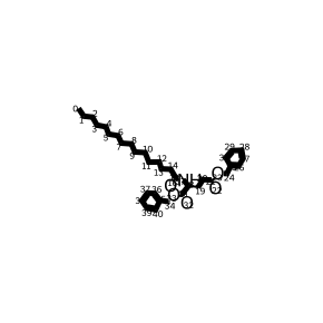 CCCCCCCCCCCCCCCC(=O)N[C@@H](CCC(=O)OCc1ccccc1)C(=O)OCc1ccccc1